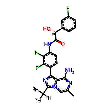 [2H]C([2H])([2H])c1nc(-c2ccc(NC(=O)[C@H](O)c3cccc(F)c3)c(F)c2F)c2c(N)nc(C)cn12